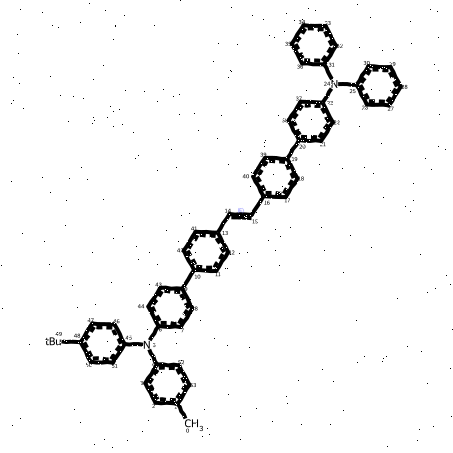 Cc1ccc(N(c2ccc(-c3ccc(/C=C/c4ccc(-c5ccc(N(c6ccccc6)c6ccccc6)cc5)cc4)cc3)cc2)c2ccc(C(C)(C)C)cc2)cc1